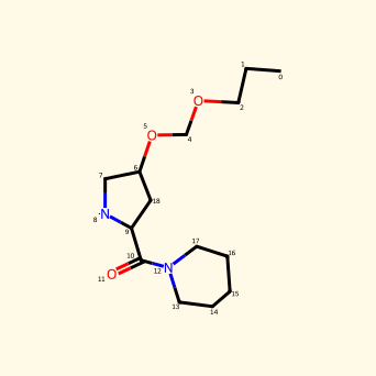 CCCOCOC1C[N]C(C(=O)N2CCCCC2)C1